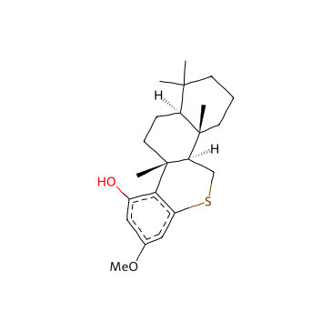 COc1cc(O)c2c(c1)SC[C@@H]1[C@@]3(C)CCCC(C)(C)[C@@H]3CC[C@@]21C